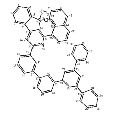 C[Si]1(C)c2ccccc2-c2nc(-c3cccc(-c4cccc(-c5cc(-c6ccccc6)cc(-c6ccccc6)c5)c4)c3)nc(-c3cccc4ccccc34)c21